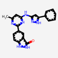 Cc1cc(Nc2cc(-c3ccccc3)[nH]n2)nc(-c2ccc3[nH][nH]c(=O)c3c2)n1